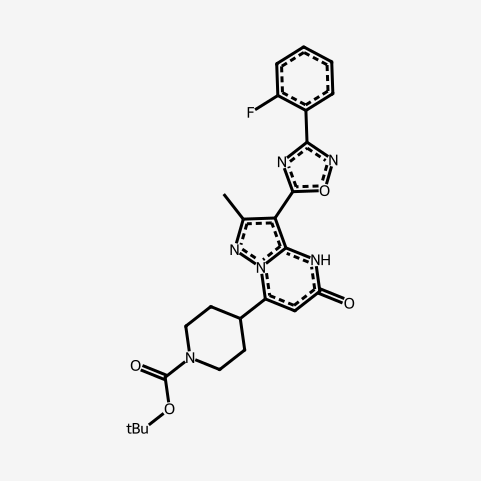 Cc1nn2c(C3CCN(C(=O)OC(C)(C)C)CC3)cc(=O)[nH]c2c1-c1nc(-c2ccccc2F)no1